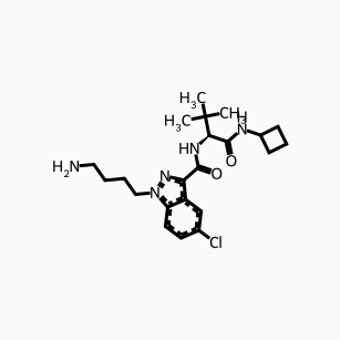 CC(C)(C)[C@H](NC(=O)c1nn(CCCCN)c2ccc(Cl)cc12)C(=O)NC1CCC1